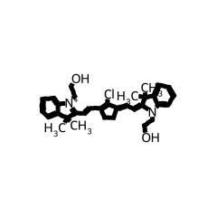 CC1(C)C(/C=C/C2=C(Cl)C(=C/C=C3/N(CCO)c4ccccc4C3(C)C)/CC2)=[N+](CCO)c2ccccc21